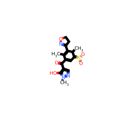 CC1=C(C2=NOCC2)C(C)C(=S(=O)=O)C=C1C(=O)c1cnn(C)c1O